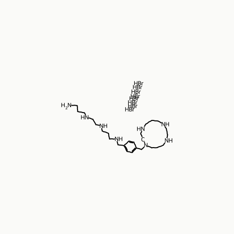 Br.Br.Br.Br.Br.Br.Br.Br.NCCCNCCNCCCNCc1ccc(CN2CCCNCCNCCCNCC2)cc1